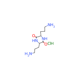 Cl.NCCCC1NC(=O)C(CCCN)NC1=O